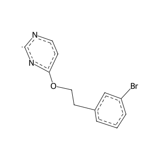 Brc1cccc(CCOc2ccn[c]n2)c1